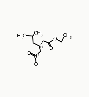 CCOC(=O)C[C@@H](CC(C)C)C[N+](=O)[O-]